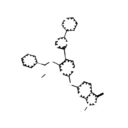 CC(C)n1[nH]c(=O)c2ccc(Nc3ncc(-c4nnc(-c5cccnc5)o4)c(N[C@H](CO)c4ccccc4)n3)nc21